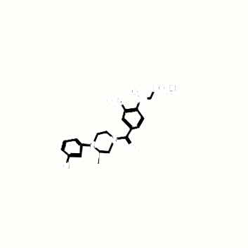 CCOC(=O)C[S+]([O-])c1ccc(C(=O)N2CCN(c3cccc(Cl)c3)[C@H](C)C2)cc1[N+](=O)[O-]